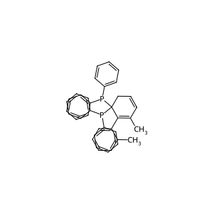 CC1=C(c2ccccc2C)C(P(c2ccccc2)c2ccccc2)(P(c2ccccc2)c2ccccc2)CC=C1